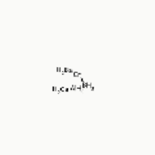 [AlH3].[BH2][Cr].[BaH2].[CaH2]